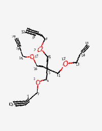 C#CCOCC(COCC#C)(COCC#C)COCC#C